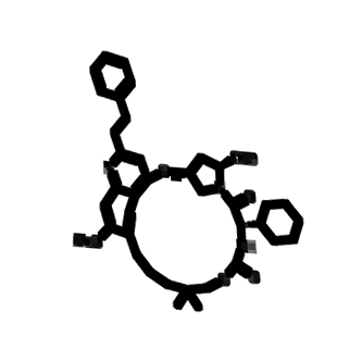 COc1cc2nc(CCc3ccccc3)cc3c2cc1CCCC(C)(C)COC(=O)N[C@@H](C1CCCCC1)C(=O)N1C[C@@H](C[C@H]1C=O)O3